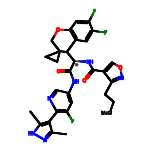 COCCc1nocc1C(=O)N[C@H](C(=O)Nc1cnc(-c2c(C)n[nH]c2C)c(F)c1)C1c2cc(F)c(F)cc2OCC12CC2